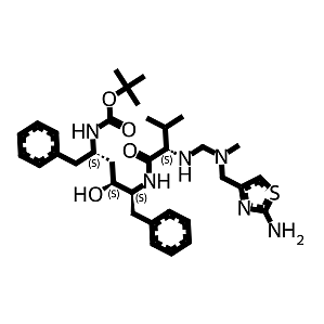 CC(C)[C@H](NCN(C)Cc1csc(N)n1)C(=O)N[C@@H](Cc1ccccc1)[C@@H](O)C[C@H](Cc1ccccc1)NC(=O)OC(C)(C)C